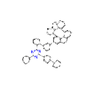 c1ccc(-c2ccc(-c3nc(-c4ccccc4)nc(-c4ccccc4-c4cccc(-c5cc6ccc7cccc8c9cccc%10ccc%11cccc(c(c5)c6c78)c%11c%109)c4)n3)cc2)cc1